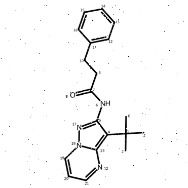 CC(C)(C)c1c(NC(=O)CCc2ccccc2)nn2cccnc12